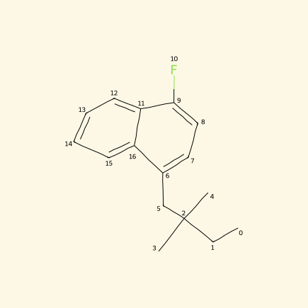 CCC(C)(C)Cc1ccc(F)c2ccccc12